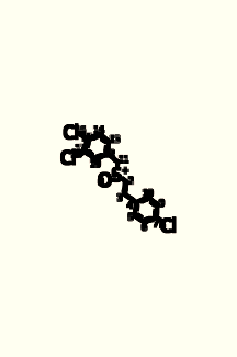 [O-][S+](C=Cc1ccc(Cl)cc1)Cc1ccc(Cl)c(Cl)c1